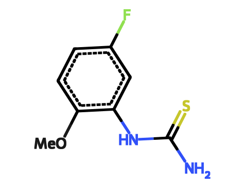 COc1ccc(F)cc1NC(N)=S